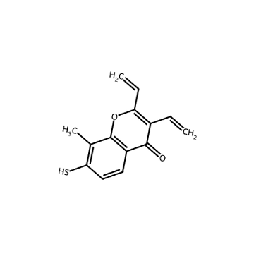 C=Cc1oc2c(C)c(S)ccc2c(=O)c1C=C